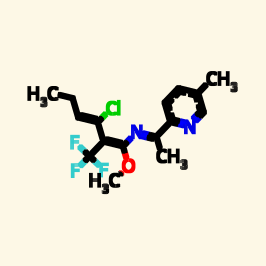 CC/C=C(Cl)/C(=C(\N=C(/C)c1ccc(C)cn1)OC)C(F)(F)F